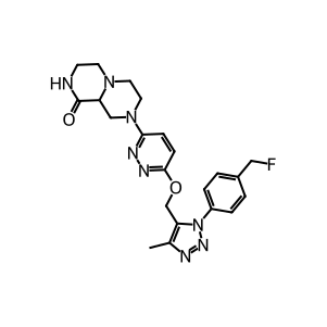 Cc1nnn(-c2ccc(CF)cc2)c1COc1ccc(N2CCN3CCNC(=O)C3C2)nn1